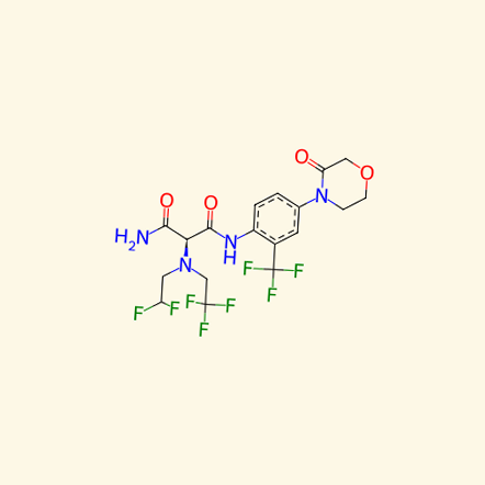 NC(=O)[C@@H](C(=O)Nc1ccc(N2CCOCC2=O)cc1C(F)(F)F)N(CC(F)F)CC(F)(F)F